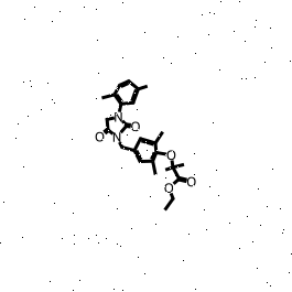 CCOC(=O)C(C)(C)Oc1c(C)cc(CN2C(=O)CN(c3cc(C)ccc3C)C2=O)cc1C